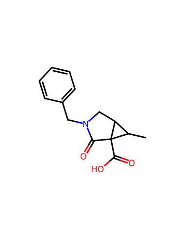 CC1C2CN(Cc3ccccc3)C(=O)C12C(=O)O